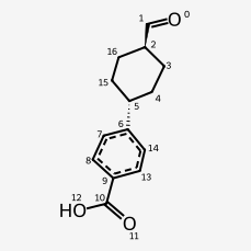 O=C[C@H]1CC[C@H](c2ccc(C(=O)O)cc2)CC1